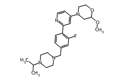 COC1CN(c2ccnc(-c3ccc(CN4CCN(C(C)C)CC4)cc3F)c2)CCO1